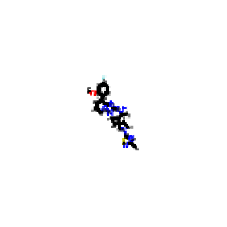 COc1cc(F)ccc1-c1cccn2nc(NC(C)C3CCC34CCN(c3nc(C)ns3)C4)nc12